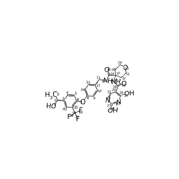 CC(O)c1ccc(Oc2ccc(CNC(=O)C3(NC(=O)c4cnc(O)nc4O)CCOCC3)cc2)c(C(F)(F)F)c1